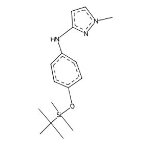 Cn1ccc(Nc2ccc(O[Si](C)(C)C(C)(C)C)cc2)n1